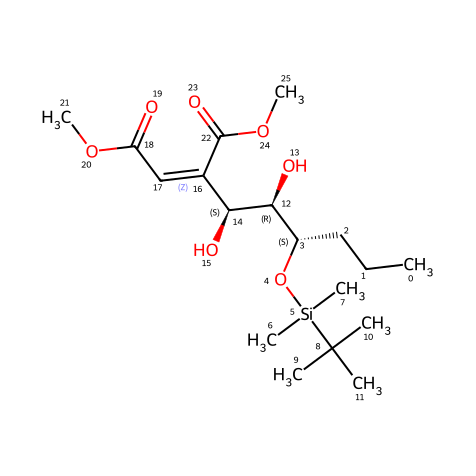 CCC[C@H](O[Si](C)(C)C(C)(C)C)[C@H](O)[C@@H](O)/C(=C/C(=O)OC)C(=O)OC